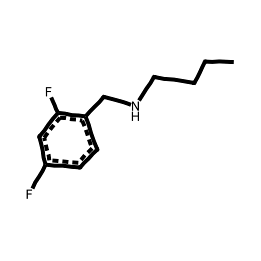 CCCCNCc1ccc(F)cc1F